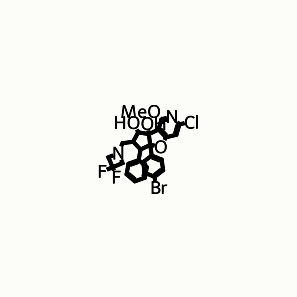 COc1nc(Cl)cc2c1C1(O)C(O)C(CN3CC(F)(F)C3)C(c3ccccc3)C1(c1ccc(Br)cc1)O2